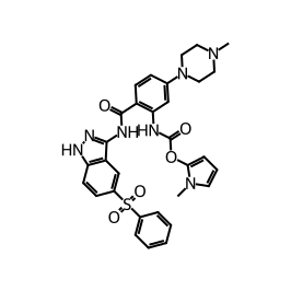 CN1CCN(c2ccc(C(=O)Nc3n[nH]c4ccc(S(=O)(=O)c5ccccc5)cc34)c(NC(=O)Oc3cccn3C)c2)CC1